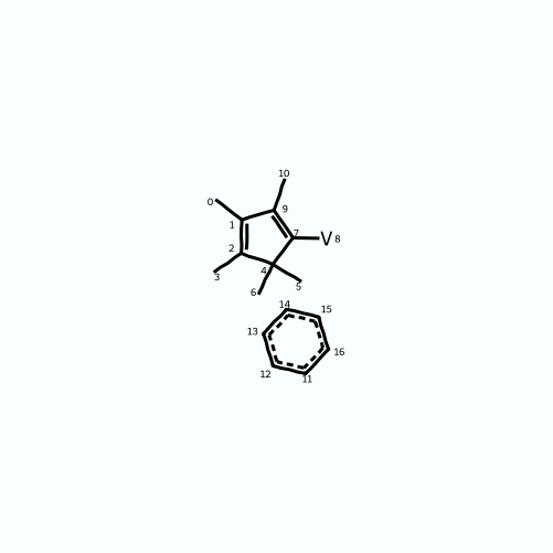 CC1=C(C)C(C)(C)[C]([V])=C1C.c1ccccc1